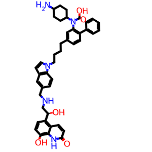 NC1CCC(N(C(=O)O)c2cc(CCCCn3ccc4cc(CNC[C@@H](O)c5ccc(O)c6[nH]c(=O)ccc56)ccc43)ccc2-c2ccccc2)CC1